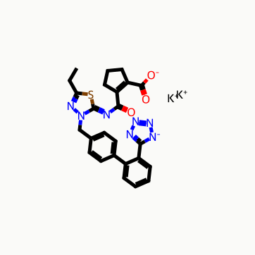 CCc1nn(Cc2ccc(-c3ccccc3-c3nnn[n-]3)cc2)c(=NC(=O)C2=C(C(=O)[O-])CCC2)s1.[K+].[K+]